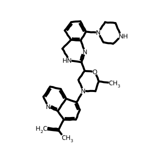 C=C(C)c1ccc(N2CC(C)OC(C3=Nc4c(cccc4N4CCNCC4)CN3)C2)c2cccnc12